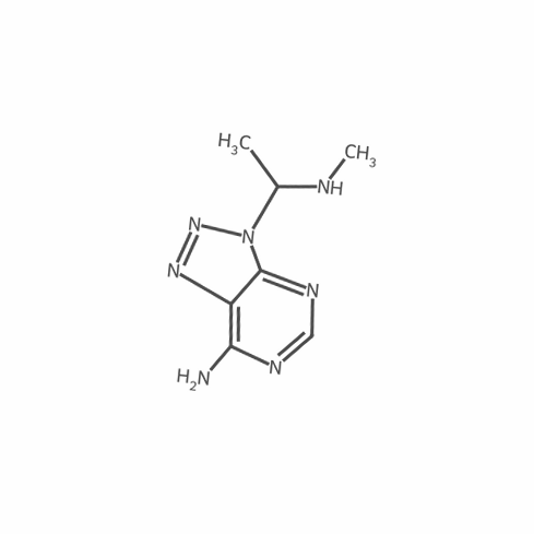 CNC(C)n1nnc2c(N)ncnc21